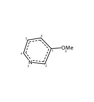 COc1[c]nc[c]c1